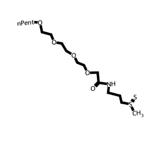 CCCCCOCCOCCOCCOCC(=O)NCCCS(C)=S